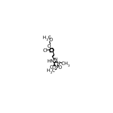 CCn1c(=O)c2[nH]c(/C=C/c3ccc(OCCOC)c(Cl)c3)nc2n(CC)c1=O